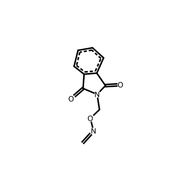 C=NOCN1C(=O)c2ccccc2C1=O